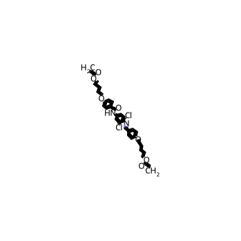 C=CC(=O)OCCCCCOc1ccc(/C=N/c2c(Cl)cc(NC(=O)c3ccc(OCCCCCOC(=O)C=C)cc3)cc2Cl)cc1